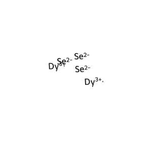 [Dy+3].[Dy+3].[Se-2].[Se-2].[Se-2]